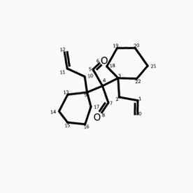 C=CCC1(C([C]=O)(C=O)C2(CC=C)CCCCC2)CCCCC1